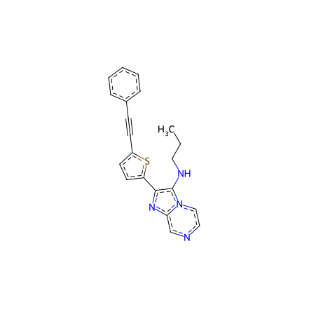 CCCNc1c(-c2ccc(C#Cc3ccccc3)s2)nc2cnccn12